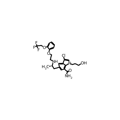 C[C@H](Cc1cc(C(N)=O)c2c(c1)c(Cl)cn2CCCO)NCCOc1ccccc1OCC(F)(F)F